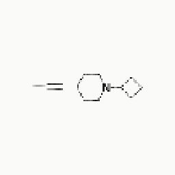 CC#CC1CCN(C2CCC2)CC1